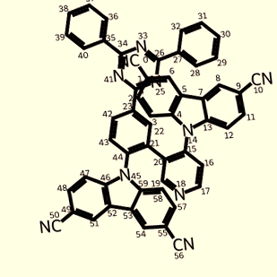 N#Cc1ccc2c(c1)c1cc(C#N)ccc1n2-c1ccncc1-c1cc(-c2nc(-c3ccccc3)nc(-c3ccccc3)n2)ccc1-n1c2ccc(C#N)cc2c2cc(C#N)ccc21